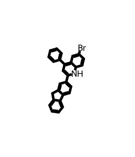 BrC1=CC2=C(c3ccccc3)C=C(c3ccc4c(c3)Cc3ccccc3-4)NC2C=C1